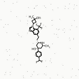 C[C@H]1C[C@@](O)(c2ccc(C(F)F)cc2)C[C@H](CCc2cc(C(F)(F)F)c3c(c2)ncn3C2CC(C)(O)C2)N1